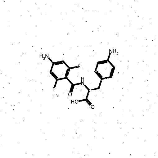 Nc1ccc(C[C@H](NC(=O)c2c(F)cc(N)cc2F)C(=O)O)cc1